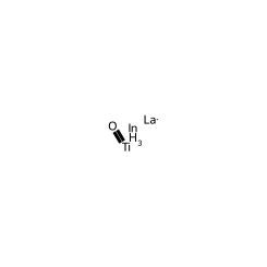 [InH3].[La].[O]=[Ti]